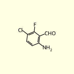 Nc1ccc(Cl)c(F)c1C=O